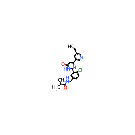 C#Cc1cncc(-c2cc(=O)[nH]c(-c3cc(CNC(=O)C(C)C)ccc3Cl)n2)c1